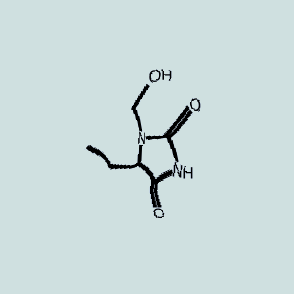 CCC1C(=O)NC(=O)N1CO